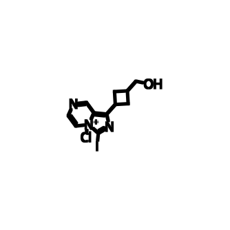 OCC1CC(C2=C3C=NC=C[N+]3(Cl)C(I)=N2)C1